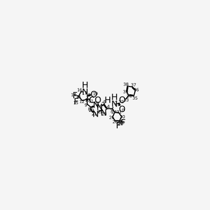 O=C(N[C@H](c1cn2nc(CC3(C(=O)O)CC(F)(F)CNC3=O)cnc2n1)C1CCC(F)(F)CC1)OCc1ccccc1